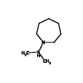 C[SH](C)N1CCCCCC1